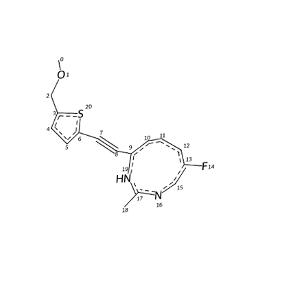 COCc1ccc(C#Cc2cccc(F)cnc(C)[nH]2)s1